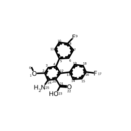 COc1cc(-c2ccc(F)cc2)c(-c2ccc(F)cc2)c(C(=O)O)c1N